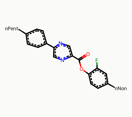 CCCCCCCCCc1ccc(OC(=O)c2cnc(-c3ccc(CCCCC)cc3)cn2)c(F)c1